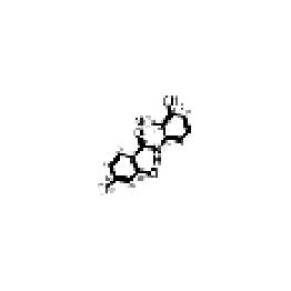 Cc1cccc(NC(=O)c2ccc(Cl)cc2Cl)c1C#N